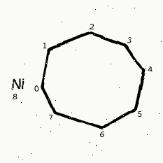 C1CCCCCCC1.[Ni]